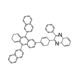 C1=CC2N=C(c3ccccc3)C(C3C=CC(c4ccc5c(-c6ccc7ccccc7c6)c6c(c(-c7ccc8ccccc8c7)c5c4)=CCCC=6)=CC3)=NC2C=C1